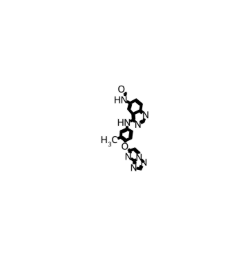 Cc1cc(Nc2ncnc3ccc(NC=O)cc23)ccc1Oc1ccn2ncnc2n1